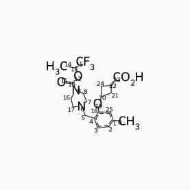 Cc1ccc(CN2CCN(C(=O)OC(C)C(F)(F)F)CC2)c(O[C@H]2C[C@H](C(=O)O)C2)c1